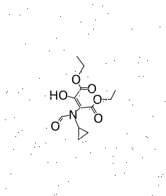 CCOC(=O)/C(O)=C(\C(=O)OCC)N(C=O)C1CC1